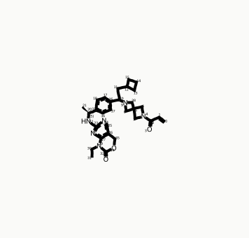 C=CC(=O)N1CC2(C1)CN(C(CC1CCC1)c1ccc([C@H](C)Nc3ncc4c(n3)N(CC)C(=O)OC4)cc1)C2